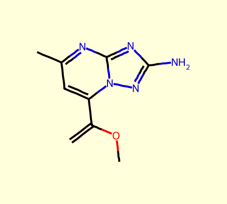 C=C(OC)c1cc(C)nc2nc(N)nn12